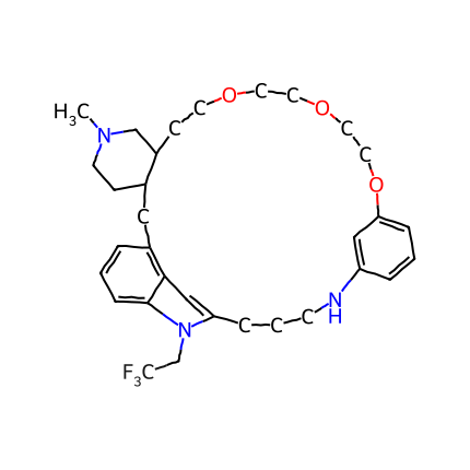 CN1CCC2Cc3cccc4c3cc(n4CC(F)(F)F)CCCNc3cccc(c3)OCCOCCOCCC2C1